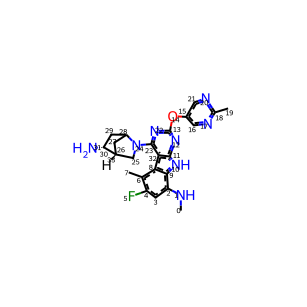 CNc1cc(F)c(C)c2c1[nH]c1nc(Oc3cnc(C)nc3)nc(N3C[C@H]4CC3C[C@H]4N)c12